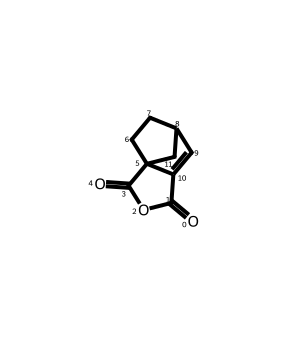 O=C1OC(=O)C23CCC(C=C12)C3